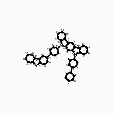 c1ccc(-c2ccc(-n3c4ccccc4c4cc5c6ccccc6n(-c6ccc(-c7ccc8sc9ccccc9c8c7)cc6)c5cc43)cc2)cc1